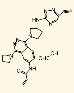 C#Cc1cnc(N[C@@H]2CCN(c3nnc(N4CCC4)c4cc(NC(=O)C=C)ccc34)C2)nn1.O=CO